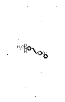 CC(=O)Nc1ccc(CC#CCN2CCC(Oc3ccccc3)CC2)cc1